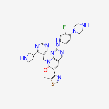 Cc1scnc1-c1cc2cnc(Nc3ccc(N4CCNCC4)c(F)c3)nc2n(Cc2cncnc2C2CCNC2)c1=O